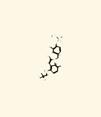 Cc1ccc(NC(=O)C(C)(C)C(=O)O)c2cc(C)n(Cc3ccc(O[Si](C(C)C)(C(C)C)C(C)C)c(C(C)C)c3)c12